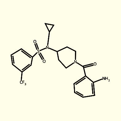 Nc1ccccc1C(=O)N1CCC(N(C2CC2)S(=O)(=O)c2cccc(C(F)(F)F)c2)CC1